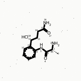 C[C@@H](N)C(=O)Nc1ccccc1CCCC(N)=O.Cl